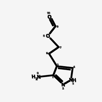 Nc1n[nH]cc1CCOC=O